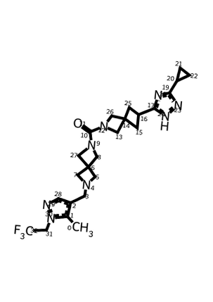 Cc1c(CN2CC3(C2)CN(C(=O)N2CC4(CC(c5nc(C6CC6)n[nH]5)C4)C2)C3)cnn1CC(F)(F)F